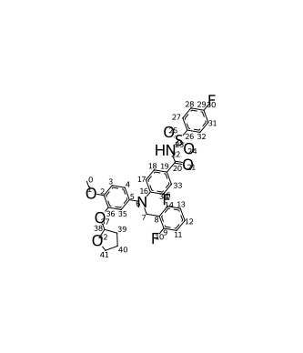 COc1ccc(N(Cc2c(F)cccc2F)c2ccc(C(=O)NS(=O)(=O)c3ccc(F)cc3)cc2)cc1OC1CCCO1